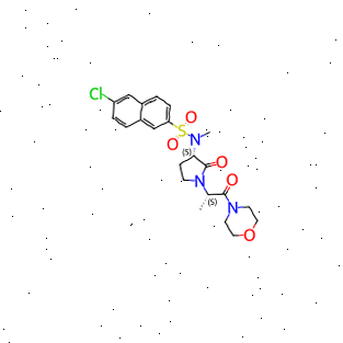 C[C@@H](C(=O)N1CCOCC1)N1CC[C@H](N(C)S(=O)(=O)c2ccc3cc(Cl)ccc3c2)C1=O